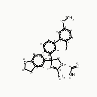 COc1ccc(F)c(-c2cccc(C3(c4ccc5c(c4)CCO5)COC(N)=N3)c2)c1.O=CO